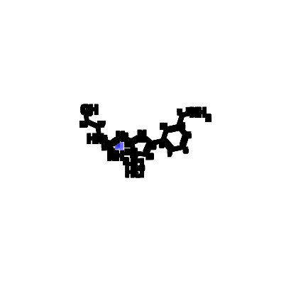 Cl.Cl.NCc1cccc(-c2csc(/N=C(\N)NCCO)n2)c1